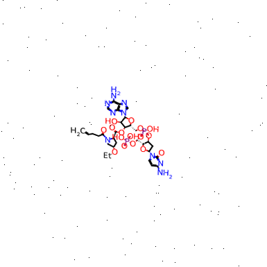 C=CCCC(=O)N1C[C@H](OCC)C[C@@H]1C(=O)O[C@H]1[C@@H](O)[C@H](n2cnc3c(N)ncnc32)O[C@@H]1COP(=O)(O)O[C@H]1C[C@H](n2ccc(N)nc2=O)O[C@@H]1COP(=O)(O)O